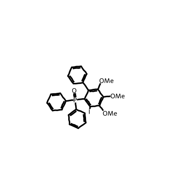 COc1c(I)c(P(=O)(c2ccccc2)c2ccccc2)c(-c2ccccc2)c(OC)c1OC